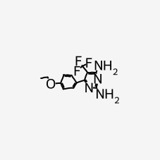 CCOc1ccc(-c2nc(N)nc(N)c2C(F)(F)F)cc1